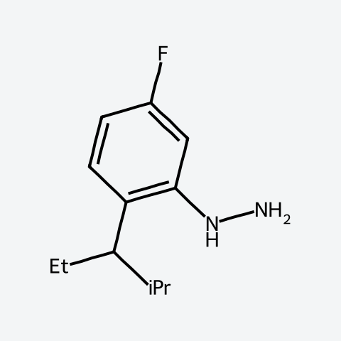 CCC(c1ccc(F)cc1NN)C(C)C